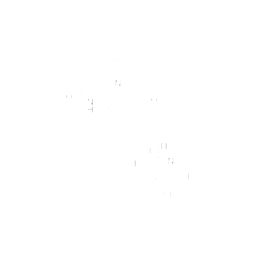 [2H]C1OC([2H])C([2H])([2H])N(Cc2ccc(COc3cccc4c3CN(C3CCC(=O)NC3=O)C4=O)cc2)C1[2H]